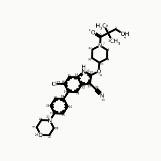 CC(C)(CO)C(=O)N1CCC(Oc2[nH]c3cc(Cl)c(-c4ccc(N5CCOCC5)cc4)cc3c2C#N)CC1